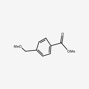 COCc1ccc(C(=O)OC)cc1